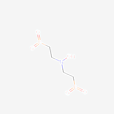 O=P(=O)CCN(O)CCP(=O)=O